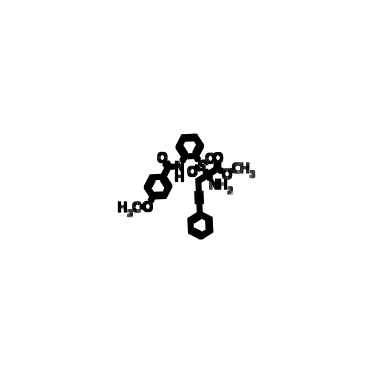 COC(=O)C(N)(CC#Cc1ccccc1)S(=O)(=O)c1ccccc1NC(=O)c1ccc(OC)cc1